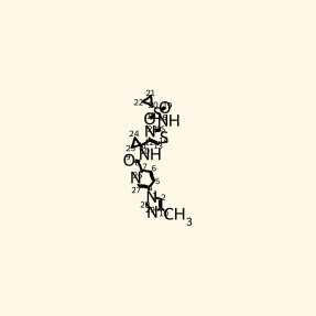 Cc1cn(-c2ccc(C(=O)NC3(c4csc(NS(=O)(=O)C5CC5)n4)CC3)nc2)cn1